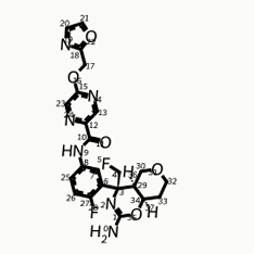 NC1=N[C@](CF)(c2cc(NC(=O)c3cnc(OCc4ncco4)cn3)ccc2F)[C@H]2COCC[C@H]2O1